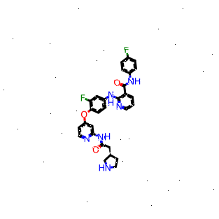 O=C(C[C@H]1CCNC1)Nc1cc(Oc2ccc(Nc3ncccc3C(=O)Nc3ccc(F)cc3)cc2F)ccn1